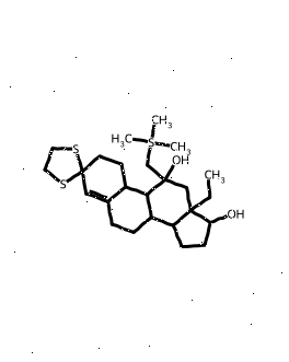 CCC12CC(O)(CS(C)(C)C)C3C4CCC5(C=C4CCC3C1CCC2O)SCCS5